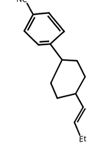 CC/C=C/C1CCC(c2ccc(C#N)cc2)CC1